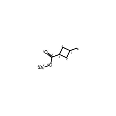 CC1CC(C(=O)OC(C)(C)C)C1